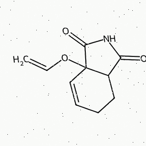 C=COC12C=CCCC1C(=O)NC2=O